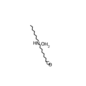 CCCCCCCCNCCCCCCCC=C=O.O